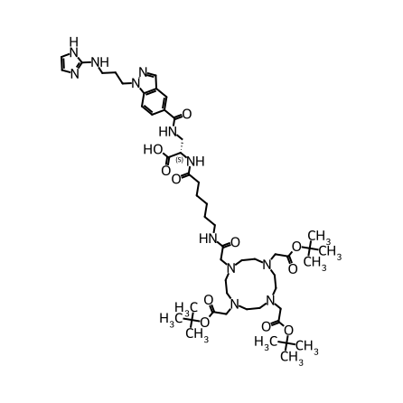 CC(C)(C)OC(=O)CN1CCN(CC(=O)NCCCCCC(=O)N[C@@H](CNC(=O)c2ccc3c(cnn3CCCNc3ncc[nH]3)c2)C(=O)O)CCN(CC(=O)OC(C)(C)C)CCN(CC(=O)OC(C)(C)C)CC1